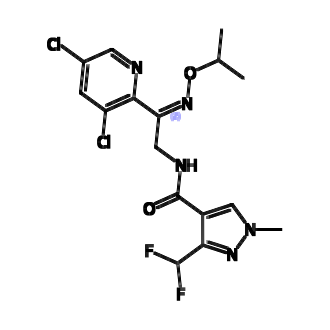 CC(C)O/N=C(/CNC(=O)c1cn(C)nc1C(F)F)c1ncc(Cl)cc1Cl